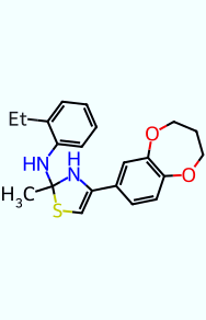 CCc1ccccc1NC1(C)NC(c2ccc3c(c2)OCCCO3)=CS1